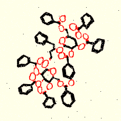 O=C(OC[C@@H]1O[C@@H](OC[CH]C(Cc2ccccc2)O[C@@H]2O[C@@H](COC(=O)c3ccccc3)[C@H](OC(=O)c3ccccc3)[C@@H](OC(=O)c3ccccc3)[C@H]2OC(=O)c2ccccc2)[C@H](OC(=O)c2ccccc2)[C@H](OC(=O)c2ccccc2)[C@H]1OC(=O)c1ccccc1)c1ccccc1